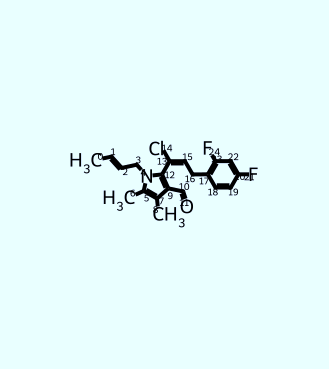 C/C=C/Cn1c(C)c(C)c(C=O)c1/C(Cl)=C\Cc1ccc(F)cc1F